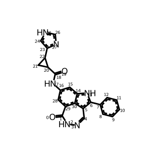 O=C1NN=Cc2c(-c3ccccc3)[nH]c3cc(NC(=O)C4CC4c4c[nH]cn4)cc1c23